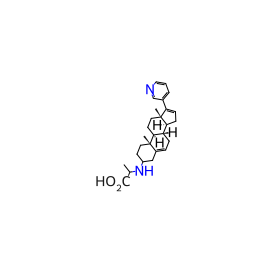 CC(NC1CC[C@@]2(C)C(=CC[C@@H]3[C@@H]2CC[C@]2(C)C(c4cccnc4)=CC[C@@H]32)C1)C(=O)O